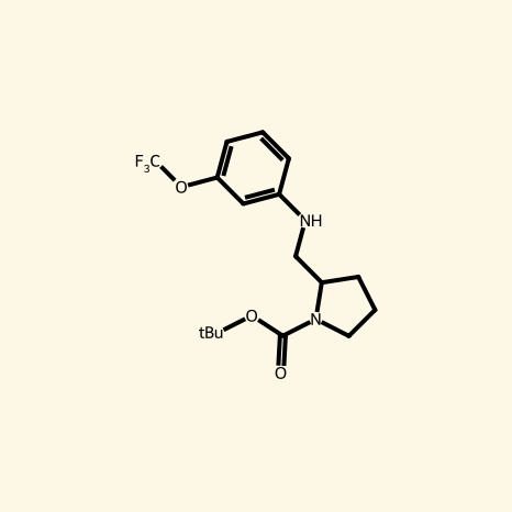 CC(C)(C)OC(=O)N1CCCC1CNc1cccc(OC(F)(F)F)c1